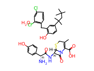 CC(C)(C)CC(C)(C)c1ccc(O)c(Cc2ccc(Cl)cc2Cl)c1.CC1=C(C(=O)O)N2C(=O)[C@@H](NC(=O)[C@H](N)c3ccc(O)cc3)[C@H]2SC1.O